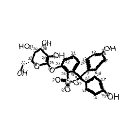 O=S1(=O)OC(c2ccc(O)cc2)(c2ccc(O)cc2)c2cccc(OC3=C(O)[C@@H](O)[C@@H](O)[C@@H](CO)O3)c21